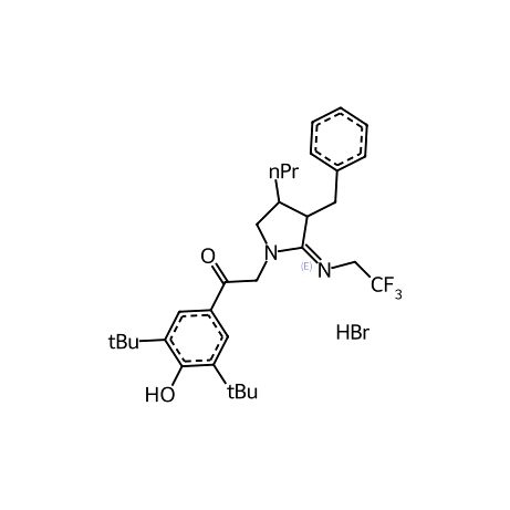 Br.CCCC1CN(CC(=O)c2cc(C(C)(C)C)c(O)c(C(C)(C)C)c2)/C(=N/CC(F)(F)F)C1Cc1ccccc1